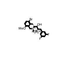 COc1ccc(Br)c2c1CN(C(=O)O)[C@@H]([C@@H](O)[C@@H](N)Cc1cc(F)cc(F)c1)C2